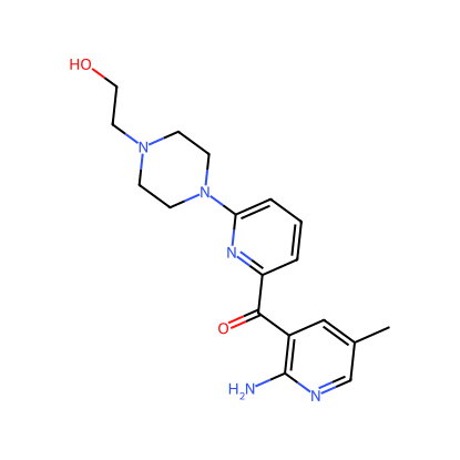 Cc1cnc(N)c(C(=O)c2cccc(N3CCN(CCO)CC3)n2)c1